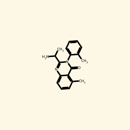 Cc1ccccc1-n1c(C(C)N)nc2cccc(C)c2c1=O